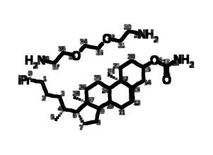 CC(C)CCC[C@@H](C)[C@H]1CCC2C3CC=C4CC(OC(N)=O)CC[C@]4(C)C3CC[C@@]21C.NCCOCCOCCN